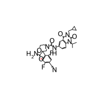 CC(C)n1c(=O)n(CC2CC2)c(=O)c2cc(NC(=O)N3CCOC(C(N)=O)(c4cc(F)c(C#N)cc4F)C3)ccc21